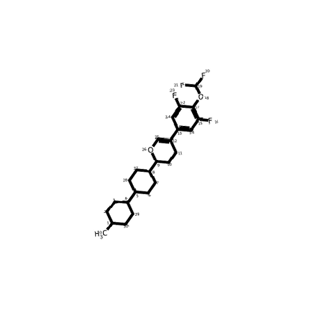 CC1CCC(C2CCC(C3CCC(c4cc(F)c(OC(F)F)c(F)c4)=CO3)CC2)CC1